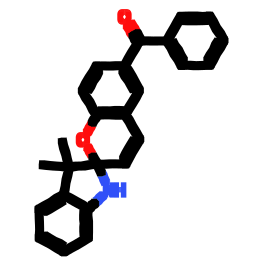 CC1(C)c2ccccc2NC12C=Cc1cc(C(=O)c3ccccc3)ccc1O2